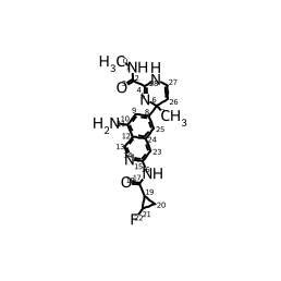 CNC(=O)C1=NC(C)(c2cc(N)c3cnc(NC(=O)C4CC4F)cc3c2)C=CN1